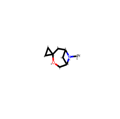 CC(C)N1C2COC3(CC3)CC1C2